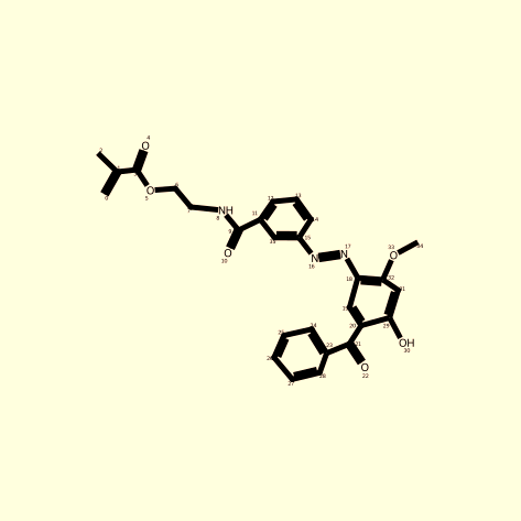 C=C(C)C(=O)OCCNC(=O)c1cccc(/N=N/c2cc(C(=O)c3ccccc3)c(O)cc2OC)c1